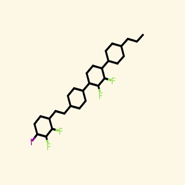 CCCC1CCC(C2CCC(C3CCC(CCC4CCC(I)C(F)C4F)CC3)C(F)C2F)CC1